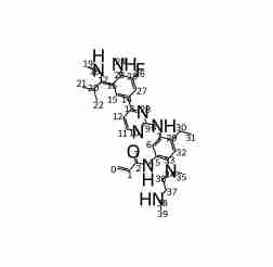 C=CC(=O)Nc1cc(Nc2nccc(C3=C/C(=C(/NC)C(C)C)C(=N)C(F)=C3)n2)c(CC)cc1N(C)CCNC